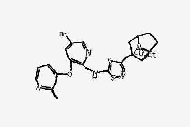 CCOC(=O)N1C2CCC1CC(c1nsc(Nc3ncc(Br)cc3Oc3cccnc3C)n1)C2